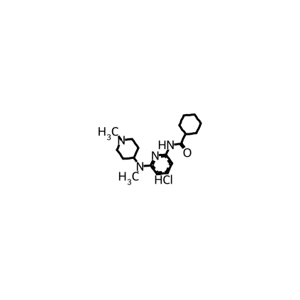 CN1CCC(N(C)c2cccc(NC(=O)C3CCCCC3)n2)CC1.Cl